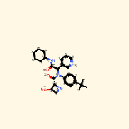 CC(C)(C)c1ccc(N(C(=O)[C@@H]2NCC2O)C(C(=O)NC2CCCCC2)c2cccnc2)cc1